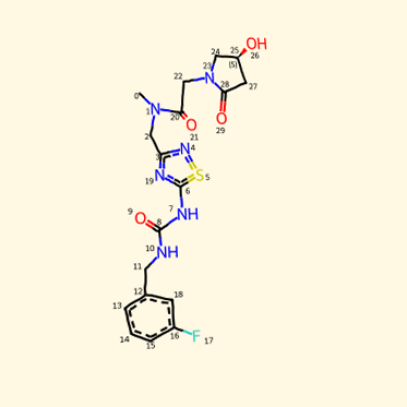 CN(Cc1nsc(NC(=O)NCc2cccc(F)c2)n1)C(=O)CN1C[C@@H](O)CC1=O